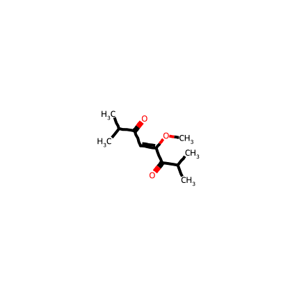 CO/C(=C\C(=O)C(C)C)C(=O)C(C)C